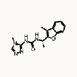 Cc1c([C@@H](C)NC(=O)Nc2nncn2C)oc2ccccc12